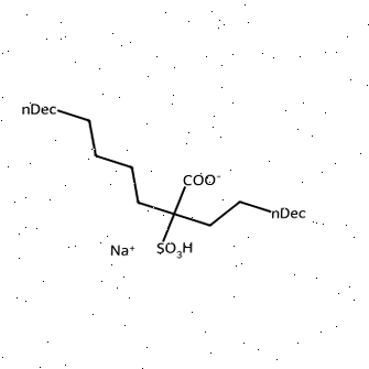 CCCCCCCCCCCCCCC(CCCCCCCCCCCC)(C(=O)[O-])S(=O)(=O)O.[Na+]